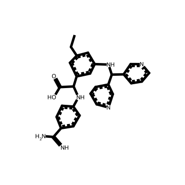 CCc1cc(NC(c2cccnc2)c2cccnc2)cc(C(Nc2ccc(C(=N)N)cc2)C(=O)O)c1